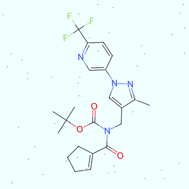 Cc1nn(-c2ccc(C(F)(F)F)nc2)cc1CN(C(=O)OC(C)(C)C)C(=O)C1=CCCC1